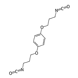 O=C=NCCCOc1ccc(OCCCN=C=O)cc1